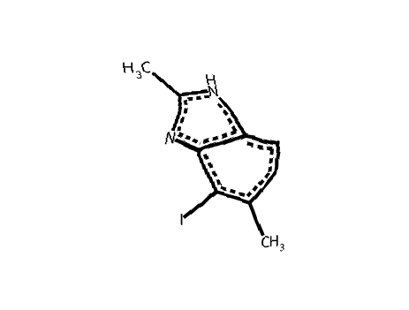 Cc1nc2c(I)c(C)ccc2[nH]1